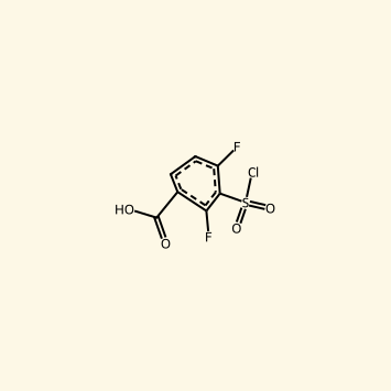 O=C(O)c1ccc(F)c(S(=O)(=O)Cl)c1F